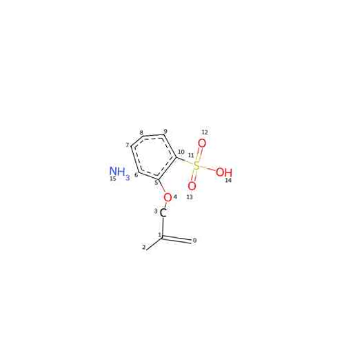 C=C(C)COc1ccccc1S(=O)(=O)O.N